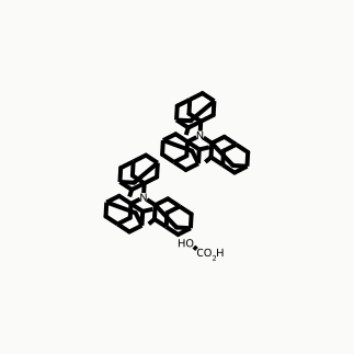 CC1C2CC3CC(C2)CC1(N(C12CC4CC(CC(C4)C1C)C2)C12CC4CC(CC(C4)C1C)C2)C3.CC1C2CC3CC(C2)CC1(N(C12CC4CC(CC(C4)C1C)C2)C12CC4CC(CC(C4)C1C)C2)C3.O=C(O)O